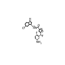 NC1C=CC(F)=C(C(F)c2cc(C(=O)NCCc3c[nH]c4ccc(Cl)cc34)no2)C1